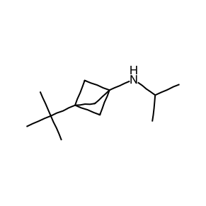 CC(C)NC12CC(C(C)(C)C)(C1)C2